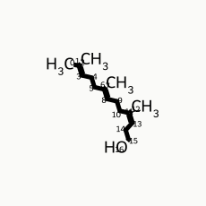 CC(C)=CCC/C(C)=C/CC/C(C)=C\CCO